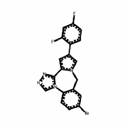 Fc1ccc(-c2cc3n(c2)Cc2cc(Br)ccc2-n2cnnc2-3)c(F)c1